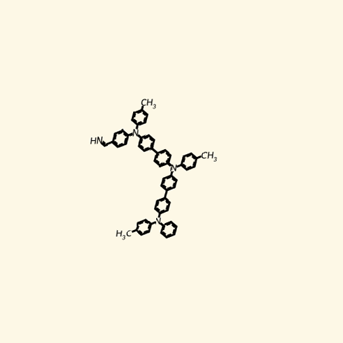 Cc1ccc(N(c2ccccc2)c2ccc(-c3ccc(N(c4ccc(C)cc4)c4ccc(-c5ccc(N(c6ccc(C)cc6)c6ccc(C=N)cc6)cc5)cc4)cc3)cc2)cc1